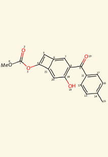 COC(=O)OC1=Cc2cc(C(=O)c3ccc(C)cc3)c(O)cc21